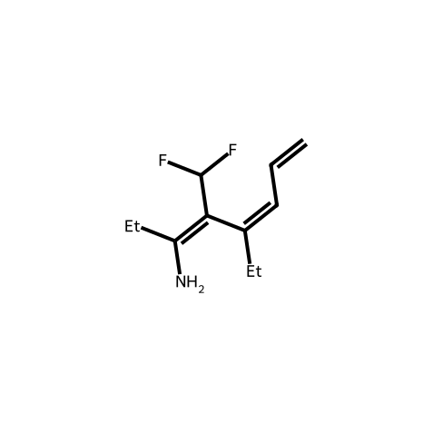 C=C/C=C(CC)\C(=C(/N)CC)C(F)F